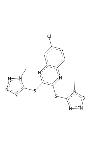 Cn1nnnc1Sc1nc2ccc(Cl)cc2nc1Sc1nnnn1C